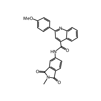 COc1ccc(-c2cc(C(=O)Nc3ccc4c(c3)C(=O)N(C)C4=O)c3ccccc3n2)cc1